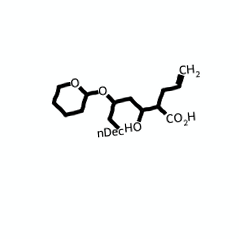 C=CCC(C(=O)O)C(O)CC(CCCCCCCCCCC)OC1CCCCO1